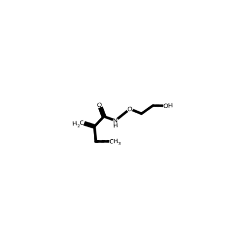 C=C(CC)C(=O)NOCCO